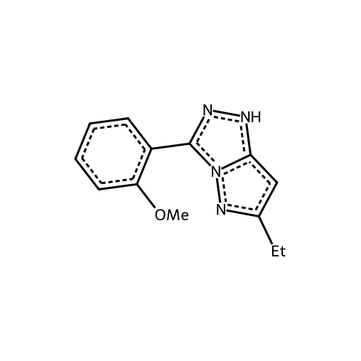 CCc1cc2[nH]nc(-c3ccccc3OC)n2n1